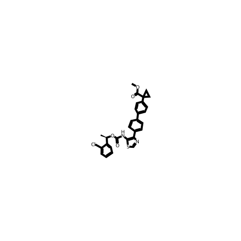 COC(=O)C1(c2ccc(-c3ccc(-c4ncsc4NC(=O)O[C@H](C)c4ccccc4Cl)cc3)cc2)CC1